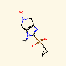 CC(C)n1c(S(=O)(=O)C2CC2)nc2c1CN(O)C2